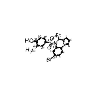 CCC1c2cccn2-c2ccc(Br)cc2N1S(=O)(=O)c1ccc(O)c(C)c1